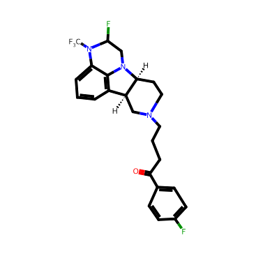 O=C(CCCN1CC[C@H]2[C@@H](C1)c1cccc3c1N2CC(F)N3C(F)(F)F)c1ccc(F)cc1